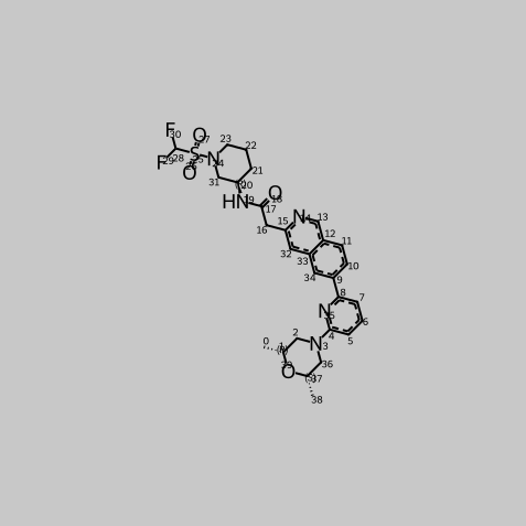 C[C@@H]1CN(c2cccc(-c3ccc4cnc(CC(=O)N[C@@H]5CCCN(S(=O)(=O)C(F)F)C5)cc4c3)n2)C[C@H](C)O1